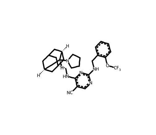 N#Cc1cnc(NCc2ccccc2OC(F)(F)F)nc1NC[C@@]12CC3C[C@H](C1)[C@@H](N1CCCC1)[C@@H](C3)C2